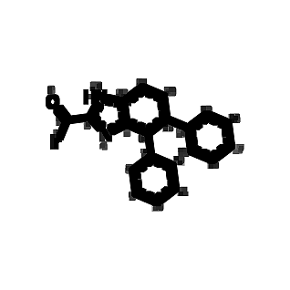 O=[C]([Ir])c1nc2c(-c3ccccc3)c(-c3ccccc3)ccc2[nH]1